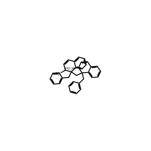 O=S(=O)(O)C1C=Cc2ccccc2C1(Cc1ccccc1)CC1(Cc2ccccc2)c2ccccc2C=CC1S(=O)(=O)O